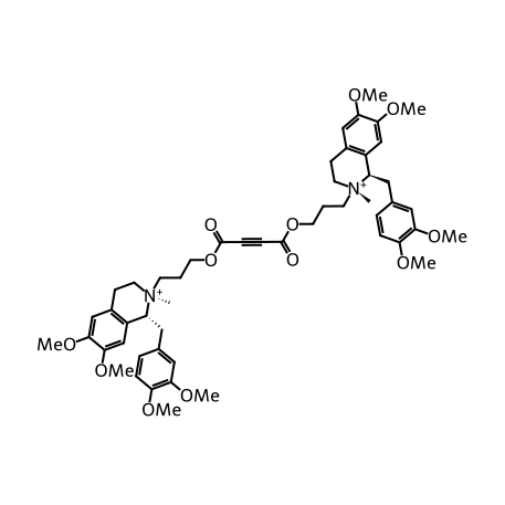 COc1ccc(C[C@@H]2c3cc(OC)c(OC)cc3CC[N@@+]2(C)CCCOC(=O)C#CC(=O)OCCC[N@+]2(C)CCc3cc(OC)c(OC)cc3[C@H]2Cc2ccc(OC)c(OC)c2)cc1OC